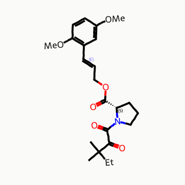 CCC(C)(C)C(=O)C(=O)N1CCC[C@H]1C(=O)OC/C=C/c1cc(OC)ccc1OC